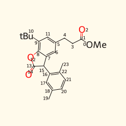 COC(=O)CCc1cc2c(c(C(C)(C)C)c1)OC(=O)C2c1cc(C)ccc1C